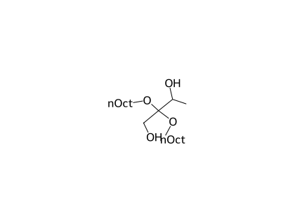 CCCCCCCCOC(CO)(OCCCCCCCC)C(C)O